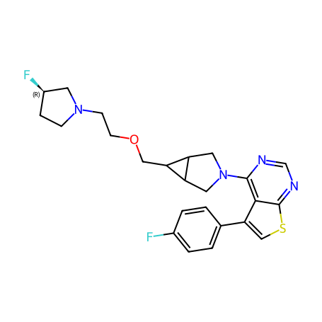 Fc1ccc(-c2csc3ncnc(N4CC5C(COCCN6CC[C@@H](F)C6)C5C4)c23)cc1